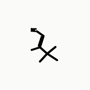 C/C(=C\C#N)C(C)(C)C